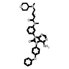 CN(C(=O)/C=C/CN(C)C1CCOCC1)c1cccc(-n2c(=O)n(-c3ccc(Oc4ccccc4)cc3)c3c(N)ncnc32)c1